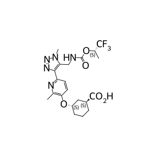 Cc1nc(-c2nnn(C)c2CNC(=O)O[C@@H](C)C(F)(F)F)ccc1O[C@H]1CCC[C@H](C(=O)O)C1